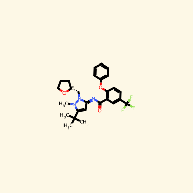 Cn1c(C(C)(C)C)cc(=NC(=O)c2cc(C(F)(F)F)ccc2Oc2ccccc2)n1C[C@H]1CCCO1